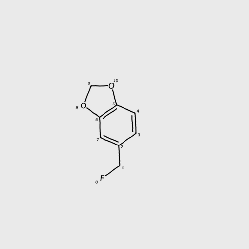 FCc1ccc2c(c1)OCO2